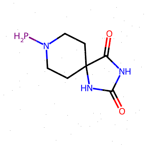 O=C1NC(=O)C2(CCN(P)CC2)N1